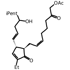 CCCC(C)C(O)C/C=C/[C@H]1C=C(CC)C(=O)[C@@H]1C/C=C\CCCC(=O)COC(C)=O